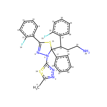 Cc1nnc(N2N=C(c3ccccc3F)SC2(c2ccccc2)C(CCN)c2ccccc2F)s1